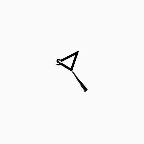 C[C@H]1CS1